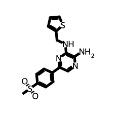 CS(=O)(=O)c1ccc(-c2cnc(N)c(NCc3cccs3)n2)cc1